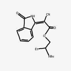 CCCCC(CC)COC(=O)C(C#N)=C1NC(=O)c2ccccc21